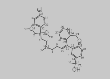 COCC(CCN(C)CC/C=C1/c2cc(C(C)(C)O)ccc2OCc2ncccc21)(OC)c1ccc(Cl)cc1